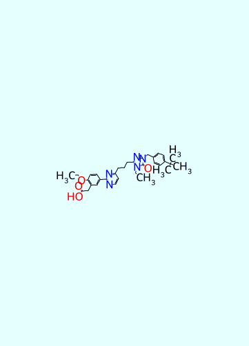 CCOc1ccc(-c2nccc(CCCc3nn(Cc4ccc(C(C)(C)C)cc4)c(=O)n3CC)n2)cc1CC(=O)O